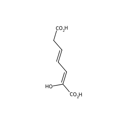 O=C(O)C/C=C/C=C(\O)C(=O)O